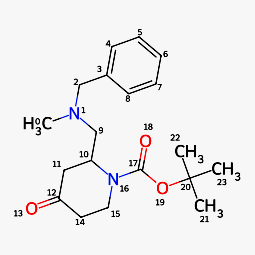 CN(Cc1ccccc1)CC1CC(=O)CCN1C(=O)OC(C)(C)C